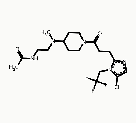 CC(=O)NCCN(C)C1CCN(C(=O)CCc2ncc(Cl)n2CC(F)(F)F)CC1